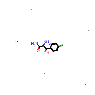 NC(=O)C(N)C(O)c1ccc(F)cc1